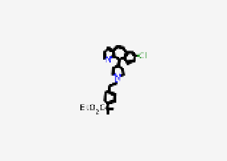 CCOC(=O)C(C)(C)c1ccc(CCN2CCC(=C3c4ccc(Cl)cc4CCc4cccnc43)CC2)cc1